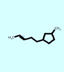 C/C=C/CCC1CCC(C)C1